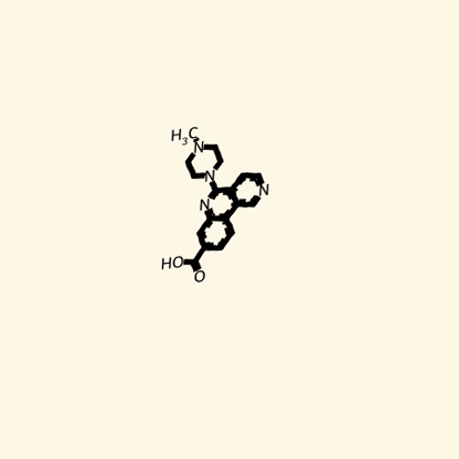 CN1CCN(c2nc3cc(C(=O)O)ccc3c3cnccc23)CC1